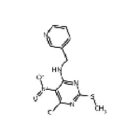 CSc1nc(Cl)c([N+](=O)[O-])c(NCc2cccnc2)n1